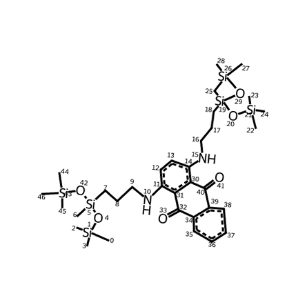 C[Si](C)(C)O[Si](C)(CCCNc1ccc(NCCC[Si]2(O[Si](C)(C)C)C[Si](C)(C)O2)c2c1C(=O)c1ccccc1C2=O)O[Si](C)(C)C